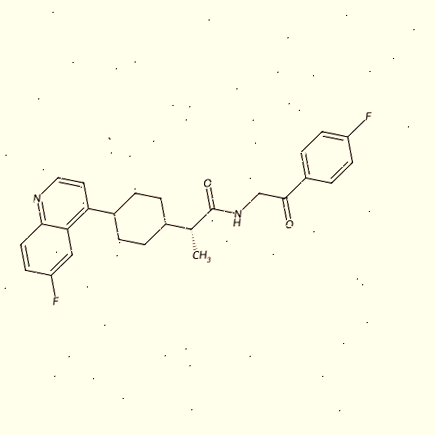 C[C@@H](C(=O)NCC(=O)c1ccc(F)cc1)C1CCC(c2ccnc3ccc(F)cc23)CC1